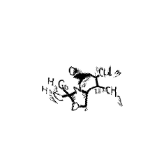 CC1C(=O)N2C(COC2(C)C)C1C